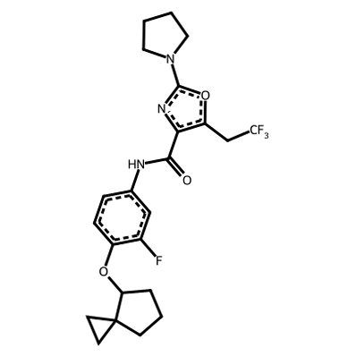 O=C(Nc1ccc(OC2CCCC23CC3)c(F)c1)c1nc(N2CCCC2)oc1CC(F)(F)F